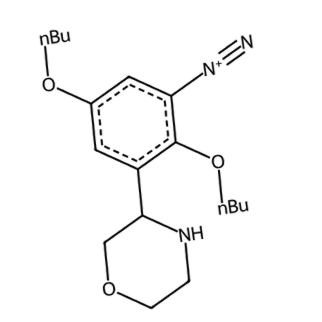 CCCCOc1cc([N+]#N)c(OCCCC)c(C2COCCN2)c1